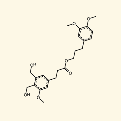 COc1ccc(CCCOC(=O)CCc2cc(CO)c(CO)c(OC)c2)cc1OC